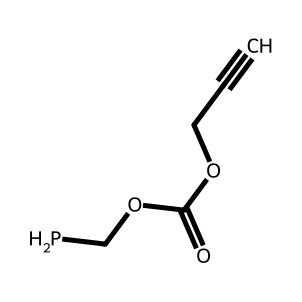 C#CCOC(=O)OCP